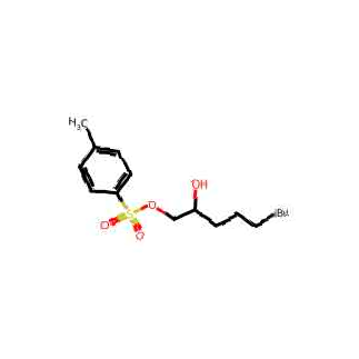 CCC(C)CCCC(O)COS(=O)(=O)c1ccc(C)cc1